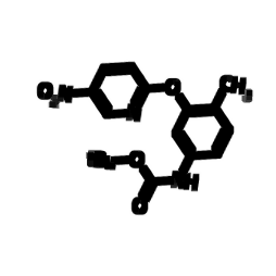 Cc1ccc(NC(=O)OC(C)(C)C)cc1Oc1ccc([N+](=O)[O-])cn1